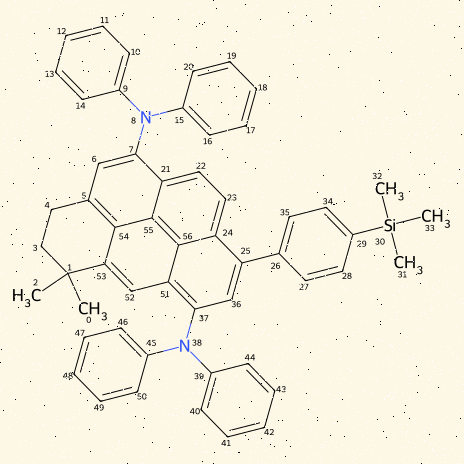 CC1(C)CCc2cc(N(c3ccccc3)c3ccccc3)c3ccc4c(-c5ccc([Si](C)(C)C)cc5)cc(N(c5ccccc5)c5ccccc5)c5cc1c2c3c45